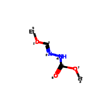 CCO/C=N/NC(=O)OCC